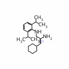 CC(C)c1cccc(C(C)C)c1NC/C(N)=C\C1CCCCC1